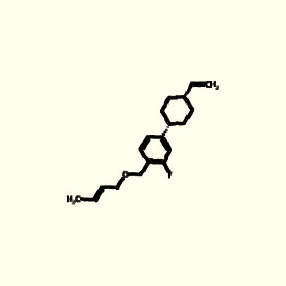 C=C[C@H]1CC[C@H](c2ccc(COC/C=C/C)c(F)c2)CC1